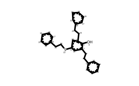 Oc1c(CCc2ccccc2)cc(SCCc2ccccc2)cc1CCc1ccccc1